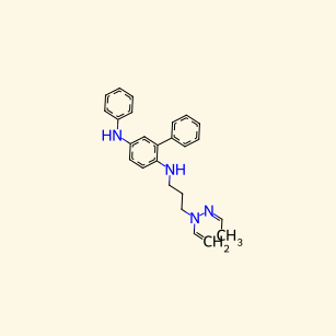 C=CN(CCCNc1ccc(Nc2ccccc2)cc1-c1ccccc1)/N=C\C